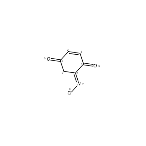 O=C1C=CC(=O)C(=NCl)C1